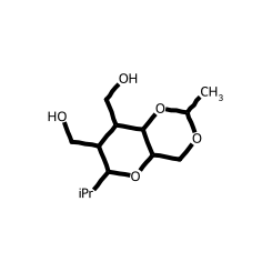 CC1OCC2OC(C(C)C)C(CO)C(CO)C2O1